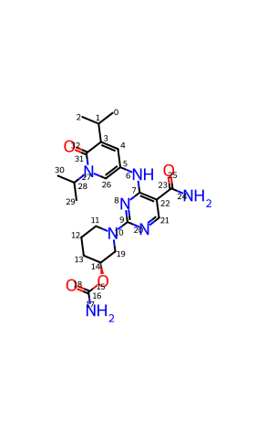 CC(C)c1cc(Nc2nc(N3CCC[C@H](OC(N)=O)C3)ncc2C(N)=O)cn(C(C)C)c1=O